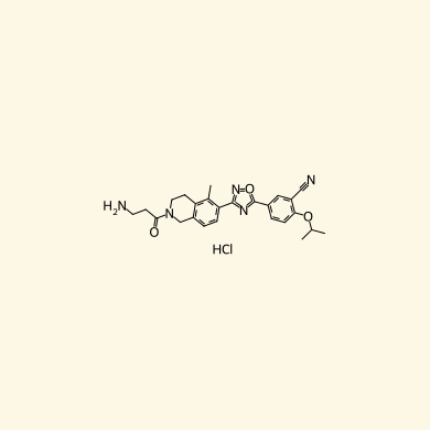 Cc1c(-c2noc(-c3ccc(OC(C)C)c(C#N)c3)n2)ccc2c1CCN(C(=O)CCN)C2.Cl